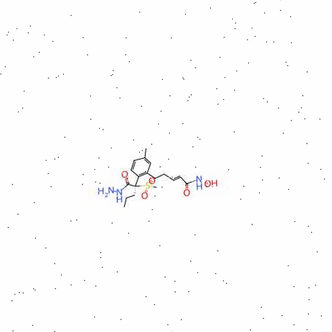 CCC[C@](C(=O)NN)(c1ccc(C)cc1CCC=CC(=O)NO)S(C)(=O)=O